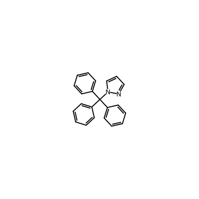 c1ccc(C(c2ccccc2)(c2ccccc2)n2cccn2)cc1